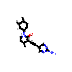 Cc1ccc(-n2ccc(C)c(C#Cc3cnc(N)nc3)c2=O)cc1C